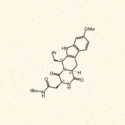 COc1ccc2c3c([nH]c2c1)[C@H](CC(C)C)N1C(=O)[C@H](CC(=O)NC(C)(C)C)NC(=O)[C@@H]1C3